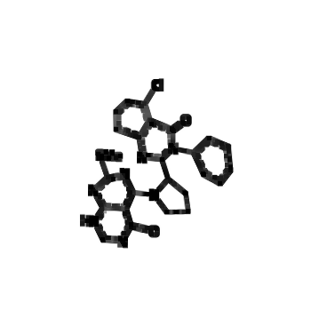 CSc1nc(N2CCCC2c2nc3cccc(Cl)c3c(=O)n2-c2ccccc2)c2c(=O)nc[nH]c2n1